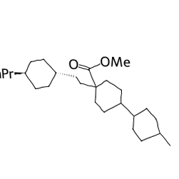 CCC[C@H]1CC[C@H](CCC2(C(=O)OC)CCC(C3CCC(C)CC3)CC2)CC1